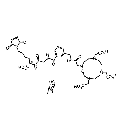 Cl.Cl.Cl.Cl.O=C(O)CN1CCN(CC(=O)O)CCN(CC(=O)NCc2cccc(C(=O)NCC(=O)N[C@@H](CCCCN3C(=O)C=CC3=O)C(=O)O)c2)CCN(CC(=O)O)CC1